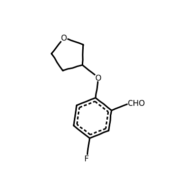 O=Cc1cc(F)ccc1OC1CCOC1